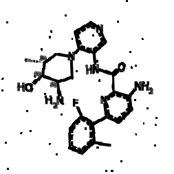 Cc1cccc(F)c1-c1ccc(N)c(C(=O)Nc2cnccc2N2C[C@@H](C)[C@H](O)[C@H](N)C2)n1